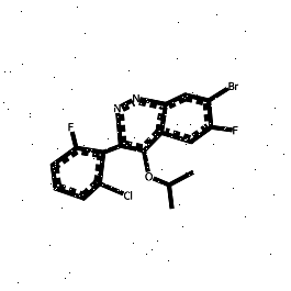 CC(C)Oc1c(-c2c(F)cccc2Cl)nnc2cc(Br)c(F)cc12